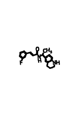 CC(NC(=O)C=Cc1cccc(F)c1)c1ccc2c(c1)CCCN2